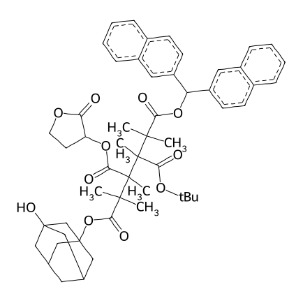 CC(C)(C)OC(=O)C(C)(C(C)(C)C(=O)OC(c1ccc2ccccc2c1)c1ccc2ccccc2c1)C(C)(C(=O)OC1CCOC1=O)C(C)(C)C(=O)OC12CC3CC(CC(O)(C3)C1)C2